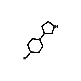 CC(C)N1CCN(C2CCNC2)CC1